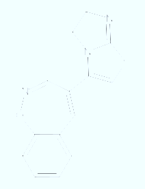 [C]1=NOc2ccccc2C=C1C1=CSC2=NCCN12